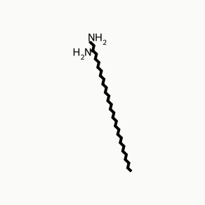 CCCCCCCCCCCCCCCCCCCCCCCCCCCCCC(N)CCN